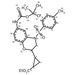 CCOC(=O)C1CC1C1CN(S(=O)(=O)c2ccc(C)cc2)c2cc(NC(=O)OC(C)(C)C(F)(F)F)ccc2O1